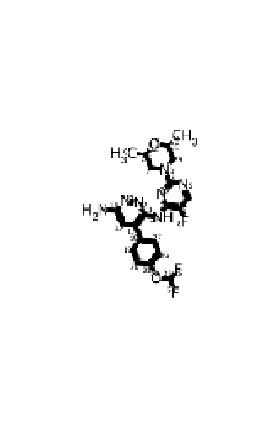 C[C@@H]1CN(c2ncc(F)c(Nc3nnc(N)cc3-c3ccc(OC(F)F)cc3)n2)C[C@H](C)O1